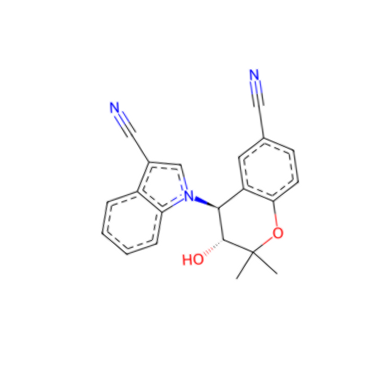 CC1(C)Oc2ccc(C#N)cc2[C@H](n2cc(C#N)c3ccccc32)[C@H]1O